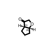 O=C1CO[C@@H]2C[CH]C[C@H]12